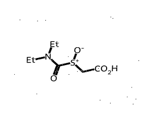 CCN(CC)C(=O)[S+]([O-])CC(=O)O